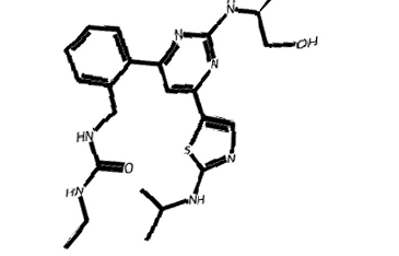 CCNC(=O)NCc1ccccc1-c1cc(-c2cnc(NC(C)C)s2)nc(N[C@@H](C)CO)n1